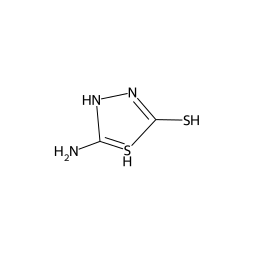 NC1=[SH]C(S)=NN1